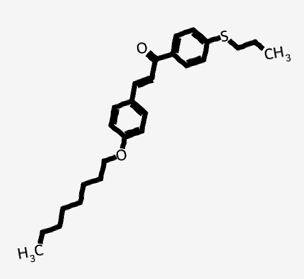 CCCCCCCCOc1ccc(/C=C/C(=O)c2ccc(SCCC)cc2)cc1